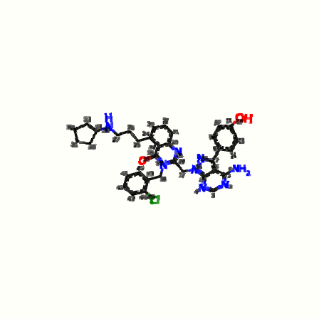 Nc1ncnc2c1c(-c1ccc(O)cc1)nn2Cc1nc2cccc(CCCNC3CCCC3)c2c(=O)n1Cc1ccccc1Cl